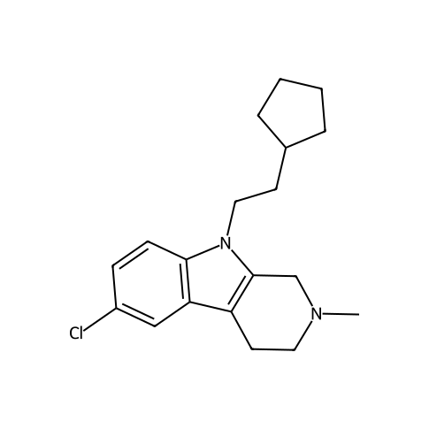 CN1CCc2c(n(CCC3CCCC3)c3ccc(Cl)cc23)C1